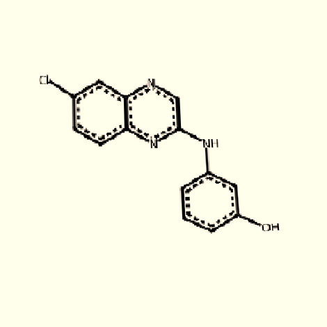 Oc1cccc(Nc2cnc3cc(Cl)ccc3n2)c1